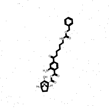 CN1[C@H]2CC[C@@H]1[C@@H](C(=O)OC(=O)c1ccc(C(=O)CCCCCNC(=O)OCc3ccccc3)cc1N)[C@@H](O)C2